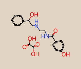 O=C(NCCNCC(O)c1ccccc1)c1ccc(O)cc1.O=C(O)C(=O)O